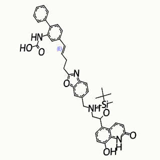 CC(C)(C)[Si](C)(C)OC(CNCc1ccc2nc(CC/C=C/c3ccc(-c4ccccc4)c(NC(=O)O)c3)oc2c1)c1ccc(O)c2[nH]c(=O)ccc12